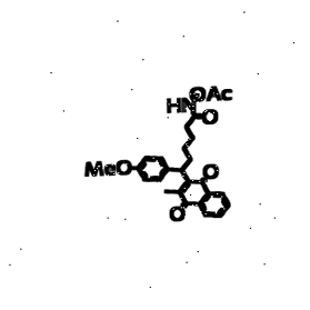 COc1ccc(C(CCCCC(=O)NOC(C)=O)C2=C(C)C(=O)c3ccccc3C2=O)cc1